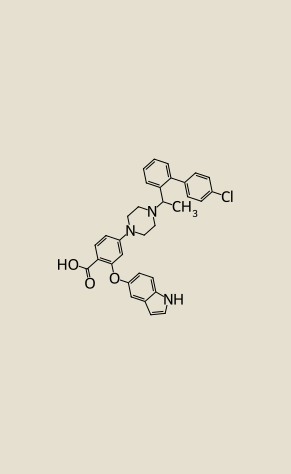 CC(c1ccccc1-c1ccc(Cl)cc1)N1CCN(c2ccc(C(=O)O)c(Oc3ccc4[nH]ccc4c3)c2)CC1